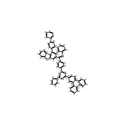 c1ccc(-c2ccc(-c3c4c(cc5c(-c6ccc(-c7nc(-c8ccccc8)nc(-c8ccc9c%10ccccc%10c%10ccccc%10c9c8)n7)cc6)nc6ccccc6c35)oc3ccccc34)cc2)cc1